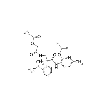 Cc1ccc(NC(=O)C2(c3ccccc3C(C)C)CN(C(=O)COC(=O)C3CC3)C2)c(OC(F)F)n1